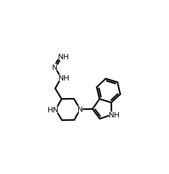 N=NNCC1CN(c2c[nH]c3ccccc23)CCN1